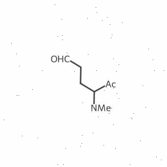 CNC(CCC=O)C(C)=O